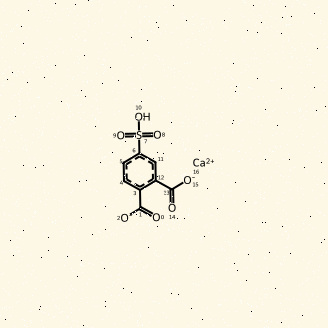 O=C([O-])c1ccc(S(=O)(=O)O)cc1C(=O)[O-].[Ca+2]